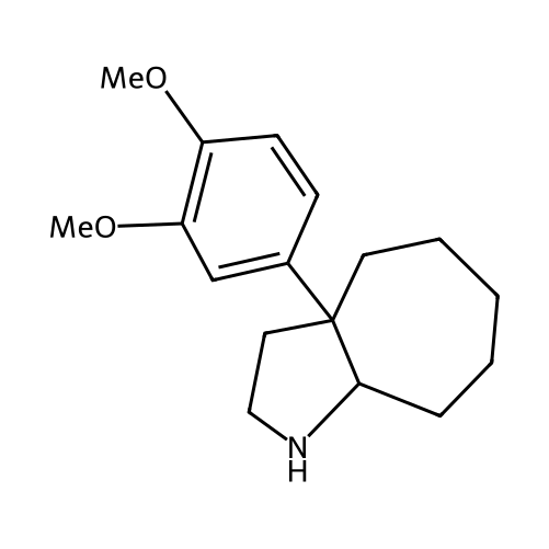 COc1ccc(C23CCCCCC2NCC3)cc1OC